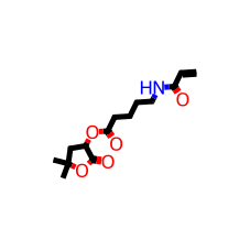 C=CC(=O)NCCCCC(=O)OC1CC(C)(C)OC1=O